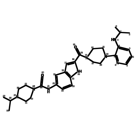 CC(C)Nc1cccnc1N1CCN(C(=O)c2cc3cc(NC(=O)N4CCN(C(C)C)CC4)ccc3[nH]2)CC1